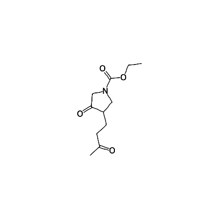 CCOC(=O)N1CC(=O)C(CCC(C)=O)C1